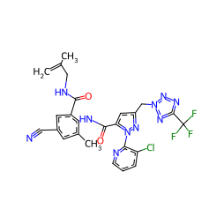 C=C(C)CNC(=O)c1cc(C#N)cc(C)c1NC(=O)c1cc(Cn2nnc(C(F)(F)F)n2)nn1-c1ncccc1Cl